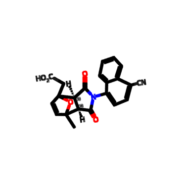 CC12C=CC(CC(=O)O)(O1)[C@H]1C(=O)N(c3ccc(C#N)c4ccccc34)C(=O)[C@H]12